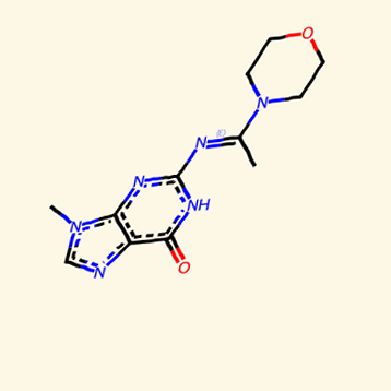 C/C(=N\c1nc2c(ncn2C)c(=O)[nH]1)N1CCOCC1